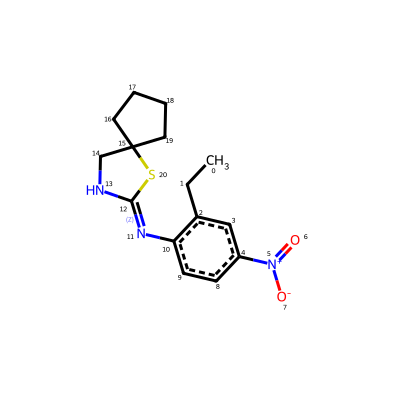 CCc1cc([N+](=O)[O-])ccc1/N=C1/NCC2(CCCC2)S1